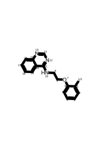 Ic1ccccc1OCCNc1ncnc2ccccc12